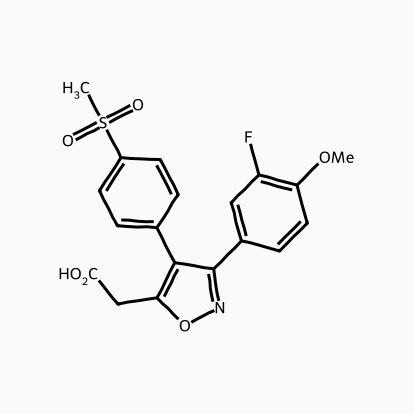 COc1ccc(-c2noc(CC(=O)O)c2-c2ccc(S(C)(=O)=O)cc2)cc1F